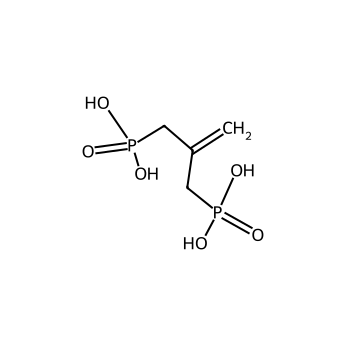 C=C(CP(=O)(O)O)CP(=O)(O)O